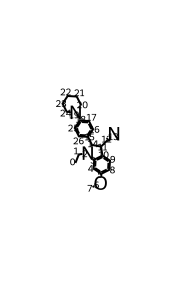 CCN1c2cc(OC)ccc2C(C#N)C1c1ccc(N2CCCCC2)cc1